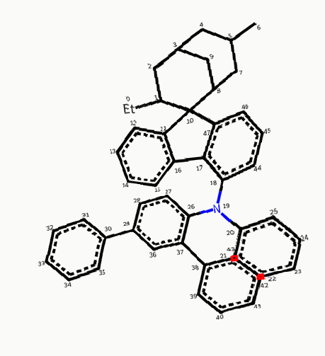 CCC1CC2CC(C)CC(C2)C12c1ccccc1-c1c(N(c3ccccc3)c3ccc(-c4ccccc4)cc3-c3ccccc3)cccc12